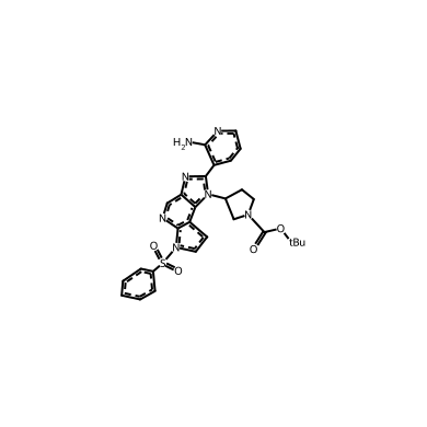 CC(C)(C)OC(=O)N1CCC(n2c(-c3cccnc3N)nc3cnc4c(ccn4S(=O)(=O)c4ccccc4)c32)C1